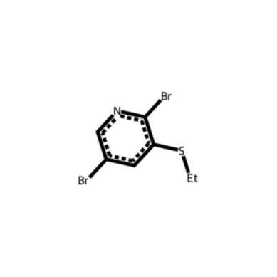 CCSc1cc(Br)cnc1Br